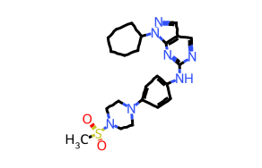 CS(=O)(=O)N1CCN(c2ccc(Nc3ncc4cnn(C5CCCCCC5)c4n3)cc2)CC1